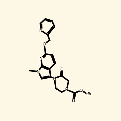 Cn1cc(N2CCN(C(=O)OC(C)(C)C)CC2=O)c2ccc(OCc3ccccn3)nc21